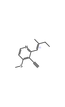 C#Cc1c(SC)ccnc1/C=C(\C)CC